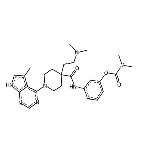 Cc1c[nH]c2ncnc(N3CCC(CCN(C)C)(C(=O)Nc4cccc(OC(=O)N(C)C)c4)CC3)c12